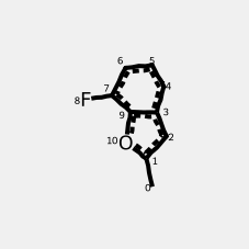 Cc1cc2[c]ccc(F)c2o1